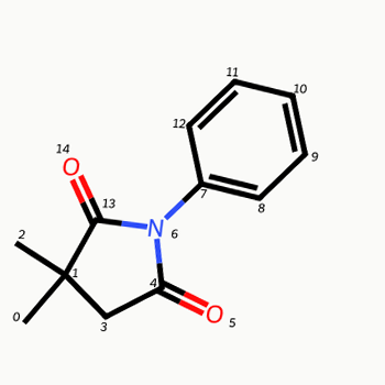 CC1(C)CC(=O)N(c2ccccc2)C1=O